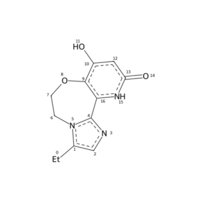 CCc1cnc2n1CCOc1c(O)cc(=O)[nH]c1-2